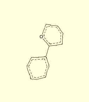 c1ccc(-c2cccc[o+]2)cc1